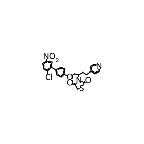 O=C1CSC(=O)N1C(CCc1ccncc1)COc1ccc(-c2cc([N+](=O)[O-])ccc2Cl)cc1